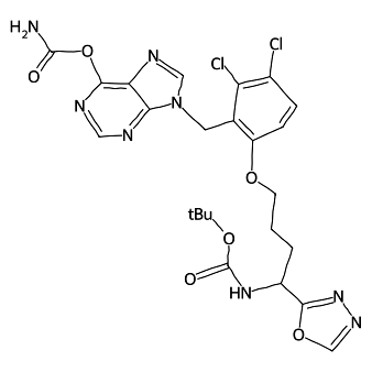 CC(C)(C)OC(=O)NC(CCCOc1ccc(Cl)c(Cl)c1Cn1cnc2c(OC(N)=O)ncnc21)c1nnco1